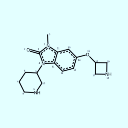 Cn1c(=O)n(C2CCCNC2)c2ccc(OC3CNC3)cc21